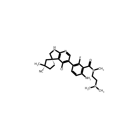 CN(C)CCN(C)C(=O)c1c(N)ccc(-c2cnc3c(c2Cl)[C@]2(CC[C@](C)(C#N)C2)CN3)c1F